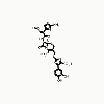 CCON=C(C(=O)N[C@@H]1C(=O)N2C(C(=O)O)=C(CSc3nc(C(=O)O)c(-c4ccc(O)c(O)c4)s3)CS[C@@H]12)c1csc(N)n1